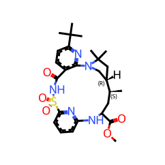 COC(=O)C1C[C@H](C)[C@@H]2CN(c3nc(C(C)(C)C)ccc3C(=O)NS(=O)(=O)c3cccc(n3)N1)C(C)(C)C2